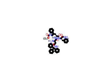 CC(C)(C)OC(=O)n1cc(C[C@H](NC(=O)[C@@H](N)CC(=O)NC(c2ccccc2)(c2ccccc2)c2ccccc2)C(=O)N[C@@H](Cc2ccccc2)C(N)=O)c2ccccc21